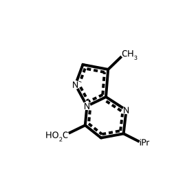 Cc1cnn2c(C(=O)O)cc(C(C)C)nc12